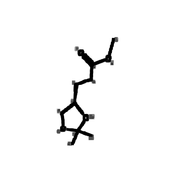 COC(=O)CC[C@@H]1COC(C)(C)O1